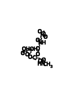 CNC(=O)OCc1ccc(OC2CC(O)CC(C(=O)O)O2)cc1OCCOCCNC(=O)CCN1C(=O)C=CC1=O